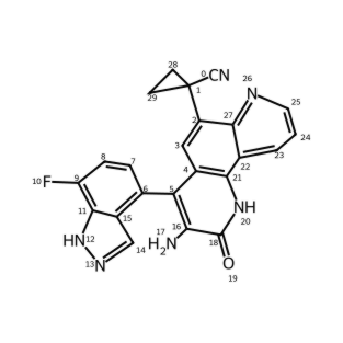 N#CC1(c2cc3c(-c4ccc(F)c5[nH]ncc45)c(N)c(=O)[nH]c3c3cccnc23)CC1